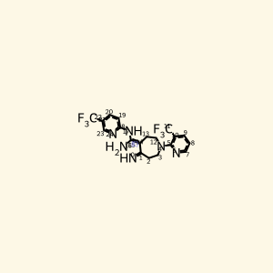 N=C1CCN(c2ncccc2C(F)(F)F)CC/C1=C(/N)Nc1ccc(C(F)(F)F)cn1